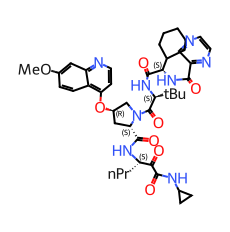 CCC[C@H](NC(=O)[C@@H]1C[C@@H](Oc2ccnc3cc(OC)ccc23)CN1C(=O)[C@@H](NC(=O)[C@@H](NC(=O)c1cnccn1)C1CCCCC1)C(C)(C)C)C(=O)C(=O)NC1CC1